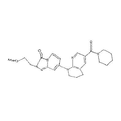 COCCn1nc2cc(N3CCCc4cc(C(=O)N5CCCCC5)cnc43)ccn2c1=O